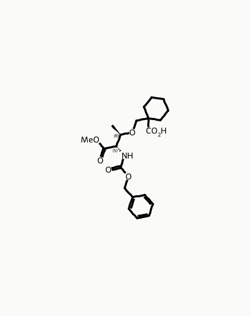 COC(=O)[C@@H](NC(=O)OCc1ccccc1)[C@@H](C)OCC1(C(=O)O)CCCCC1